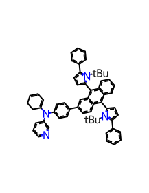 CC(C)(C)n1c(-c2ccccc2)ccc1-c1c2ccccc2c(-c2ccc(-c3ccccc3)n2C(C)(C)C)c2cc(-c3ccc(N(C4=CC=CCC4)c4cccnc4)cc3)ccc12